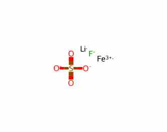 O=S(=O)([O-])[O-].[F-].[Fe+3].[Li]